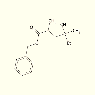 CCC(C)(C#N)CC(C)C(=O)OCc1ccccc1